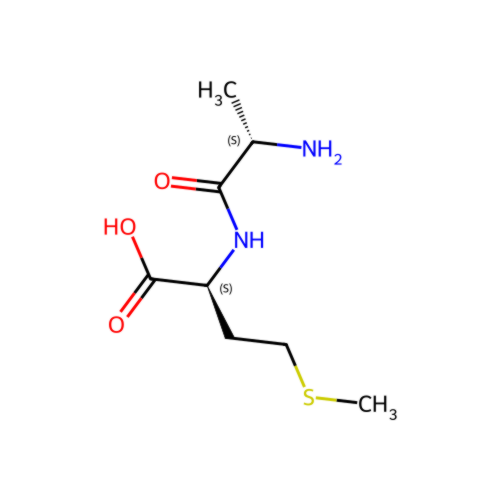 CSCC[C@H](NC(=O)[C@H](C)N)C(=O)O